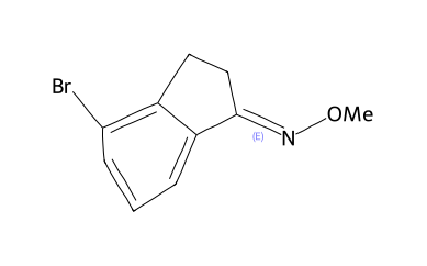 CO/N=C1\CCc2c(Br)cccc21